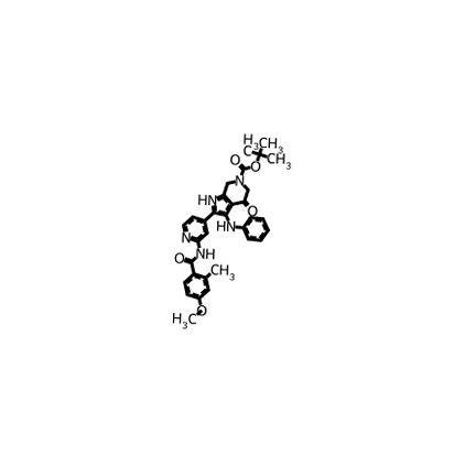 COc1ccc(C(=O)Nc2cc(-c3[nH]c4c(c3Nc3ccccc3)C(=O)CN(C(=O)OC(C)(C)C)C4)ccn2)c(C)c1